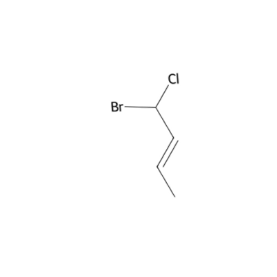 C/C=C/C(Cl)Br